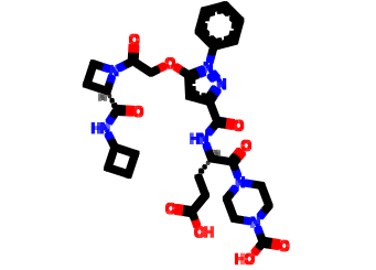 O=C(O)CC[C@H](NC(=O)c1cc(OCC(=O)N2CC[C@H]2C(=O)NC2CCC2)n(-c2ccccc2)n1)C(=O)N1CCN(C(=O)O)CC1